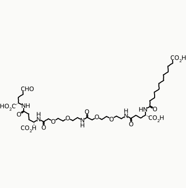 O=CCC[C@H](NC(=O)CC[C@H](NC(=O)COCCOCCNC(=O)COCCOCCNC(=O)CC[C@H](NC(=O)CCCCCCCCCCC(=O)O)C(=O)O)C(=O)O)C(=O)O